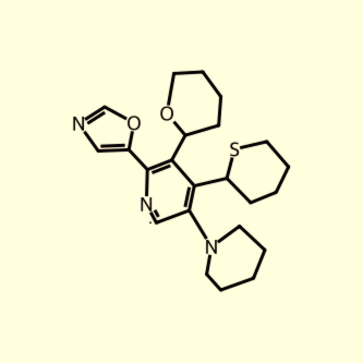 [c]1nc(-c2cnco2)c(C2CCCCO2)c(C2CCCCS2)c1N1CCCCC1